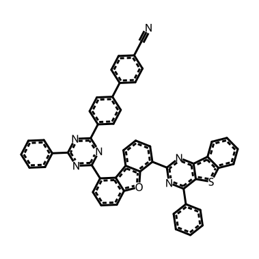 N#Cc1ccc(-c2ccc(-c3nc(-c4ccccc4)nc(-c4cccc5oc6c(-c7nc(-c8ccccc8)c8sc9ccccc9c8n7)cccc6c45)n3)cc2)cc1